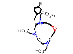 CCc1ccc(C[C@H]2CN(CC(=O)O)CCN(CC(=O)O)CCOCCN2CC(=O)O)cc1